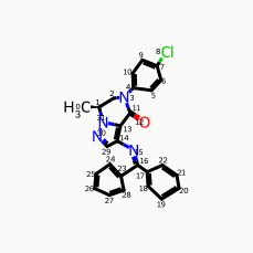 C[C@H]1CN(c2ccc(Cl)cc2)C(=O)c2c(N=C(c3ccccc3)c3ccccc3)cnn21